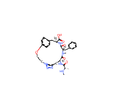 CN[C@@H](C)C(=O)N[C@H]1Cc2cn(nn2)CCCOc2ccc(cc2)C[C@@H](C(=O)O)NC(=O)[C@H](Cc2ccccc2)N(C)C1=O